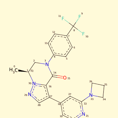 C[C@H]1CN(c2ccc(C(F)(F)F)cc2)C(=O)c2c(-c3ccnc(N4CCC4)c3)cnn21